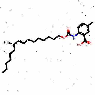 B[C@H](CCCCCC)CCCCCCCCCOC(=O)Nc1ccc(C)cc1C(=O)O